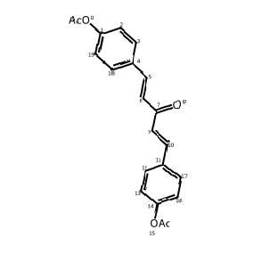 CC(=O)Oc1ccc(/C=C/C(=O)/C=C/c2ccc(OC(C)=O)cc2)cc1